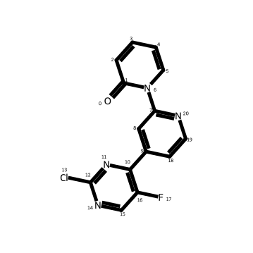 O=c1ccccn1-c1cc(-c2nc(Cl)ncc2F)ccn1